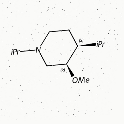 CO[C@H]1CN(C(C)C)CC[C@H]1C(C)C